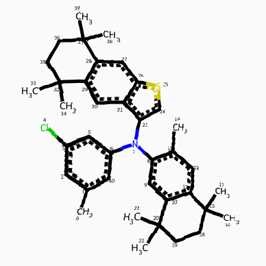 Cc1cc(Cl)cc(N(c2cc3c(cc2C)C(C)(C)CCC3(C)C)c2csc3cc4c(cc23)C(C)(C)CCC4(C)C)c1